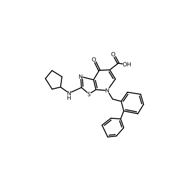 O=C(O)c1cn(Cc2ccccc2-c2ccccc2)c2sc(NC3CCCC3)nc2c1=O